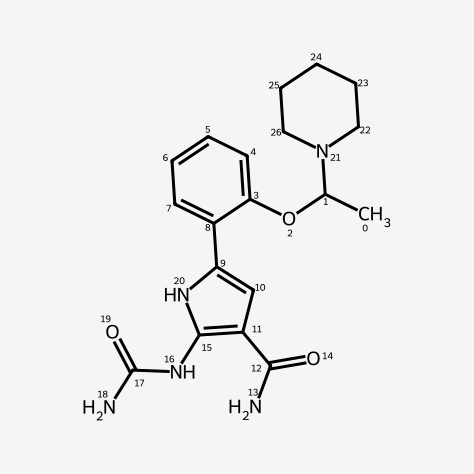 CC(Oc1ccccc1-c1cc(C(N)=O)c(NC(N)=O)[nH]1)N1CCCCC1